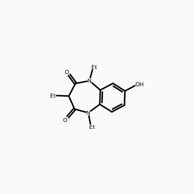 CCC1C(=O)N(CC)c2ccc(O)cc2N(CC)C1=O